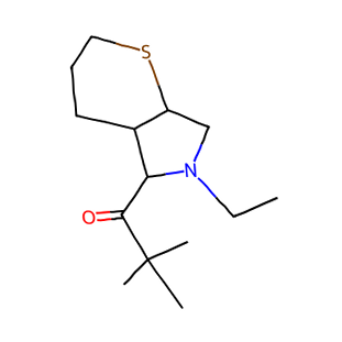 CCN1CC2SCCCC2C1C(=O)C(C)(C)C